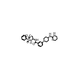 O=C(O)CC(NC(=O)c1cccc(N2CCC(NC3=NCCCN3)CC2)c1)NS(=O)(=O)c1ccccc1